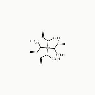 C=CC(C(=O)O)[N+](C(C=C)C(=O)O)(C(C=C)C(=O)O)C(C=C)C(=O)O